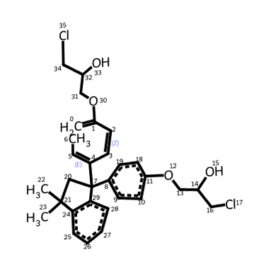 C=C(/C=C\C(=C/C)C1(c2ccc(OCC(O)CCl)cc2)CC(C)(C)c2ccccc21)OCC(O)CCl